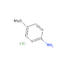 COc1ccc(N)cc1.Cl